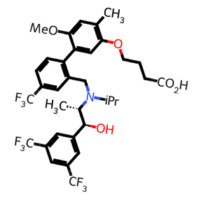 COc1cc(C)c(OCCCC(=O)O)cc1-c1ccc(C(F)(F)F)cc1CN(C(C)C)[C@@H](C)[C@@H](O)c1cc(C(F)(F)F)cc(C(F)(F)F)c1